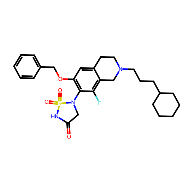 O=C1CN(c2c(OCc3ccccc3)cc3c(c2F)CN(CCCC2CCCCC2)CC3)S(=O)(=O)N1